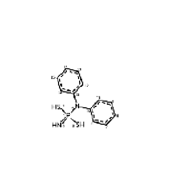 N=P(S)(S)N(c1ccccc1)c1ccccc1